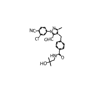 Cc1nn(-c2ccc(C#N)c(Cl)c2)c(C=O)c1Cc1ccc(C(=O)NCC(C)(C)O)cc1